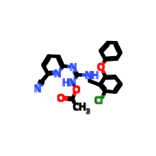 CC(=O)ONC(=Nc1cccc(C#N)n1)NCc1c(Cl)cccc1Oc1ccccc1